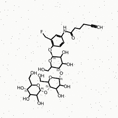 C#CCCCC(=O)Nc1ccc(O[C@@H]2OC(CO)[C@@H](O[C@H]3OC(CO)[C@@H](O[C@H]4OC(CO)[C@@H](O)C(O)C4O)C(O)C3O)C(O)C2O)c(CF)c1